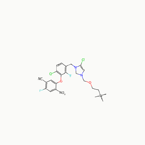 C[Si](C)(C)CCOCN1C=C(Cl)N(Cc2ccc(Cl)c(Oc3cc(C#N)c(F)cc3[N+](=O)[O-])c2F)C1